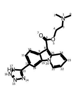 CN(C)CCOC(=O)c1c2ccc(-c3nnn[nH]3)cc2n2ccccc12